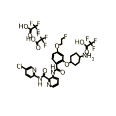 NC1CCC(Oc2cc(OCCF)ccc2C(=O)Nc2cccnc2C(=O)Nc2ccc(Cl)cn2)CC1.O=C(O)C(F)(F)F.O=C(O)C(F)(F)F.O=C(O)C(F)(F)F